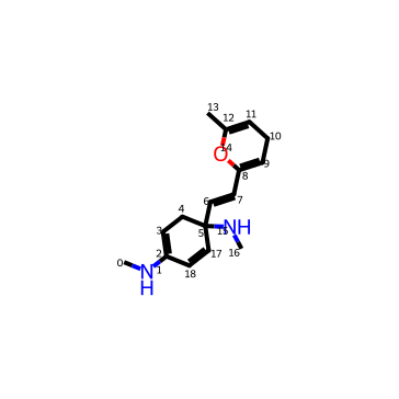 CNC1=CCC(C=CC2=CCC=C(C)O2)(NC)C=C1